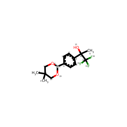 CC1(C)COB(c2ccc(C(C)(O)C(F)(F)F)cc2)OC1